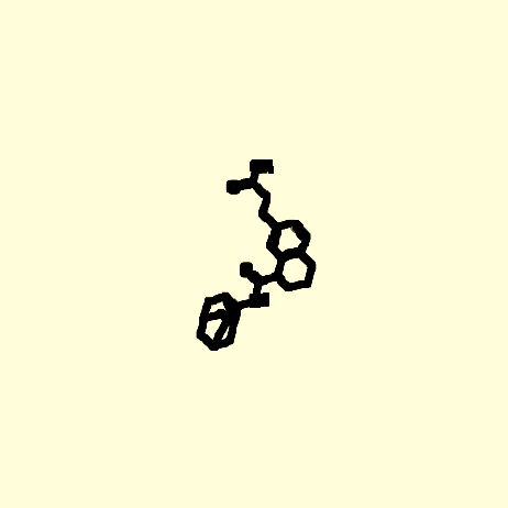 O=C(O)CCc1ccc2c(c1)C(C(=O)NC1C3CC4CC(C3)CC1C4)CCC2